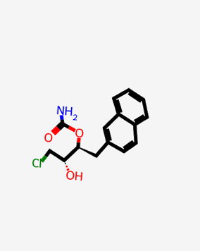 NC(=O)O[C@@H](Cc1ccc2ccccc2c1)[C@H](O)CCl